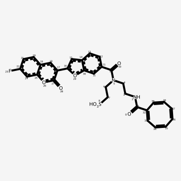 O=C(NCCN(CCS(=O)(=O)O)C(=O)c1ccc2cc(-c3cc4ccc(F)cc4oc3=O)oc2c1)C1=CC=CC=CC=C1